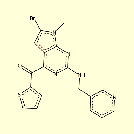 Cn1c(Br)cc2c(C(=O)c3cccs3)nc(NCc3cccnc3)nc21